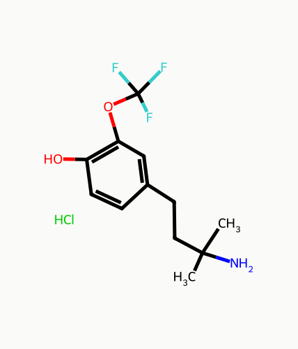 CC(C)(N)CCc1ccc(O)c(OC(F)(F)F)c1.Cl